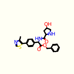 Cc1ncsc1-c1ccc([C@@H](NC(=O)C2C[C@@H](O)CN2)C(=O)OCc2ccccc2)cc1